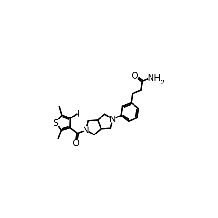 Cc1sc(C)c(C(=O)N2CC3CN(c4cccc(CCC(N)=O)c4)CC3C2)c1I